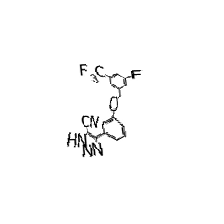 N#Cc1[nH]nnc1-c1cccc(OCc2cc(F)cc(C(F)(F)F)c2)c1